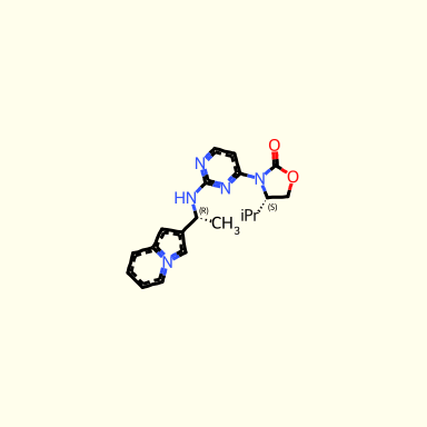 CC(C)[C@H]1COC(=O)N1c1ccnc(N[C@H](C)c2cc3ccccn3c2)n1